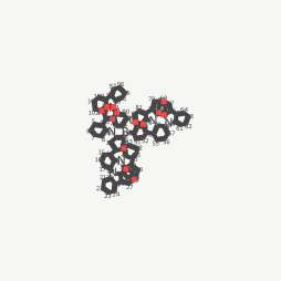 c1ccc(-c2ccccc2N2c3cc(-c4cccc(-n5c6ccccc6c6ccccc65)c4-n4c5ccccc5c5ccccc54)ccc3B3c4ccc(-c5cccc(-n6c7ccccc7c7ccccc76)c5-n5c6ccccc6c6ccccc65)cc4Oc4cc(-n5c6ccccc6c6ccccc65)cc2c43)cc1